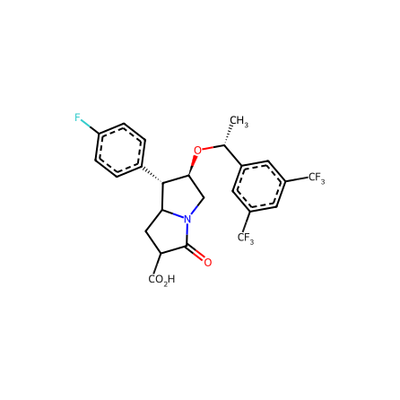 C[C@@H](O[C@H]1CN2C(=O)C(C(=O)O)CC2[C@@H]1c1ccc(F)cc1)c1cc(C(F)(F)F)cc(C(F)(F)F)c1